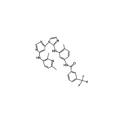 Cc1ccc(Nc2cc(-n3ccnc3Nc3cc(NC(=O)c4cccc(C(F)(F)F)c4)ccc3C)ncn2)c(C)n1